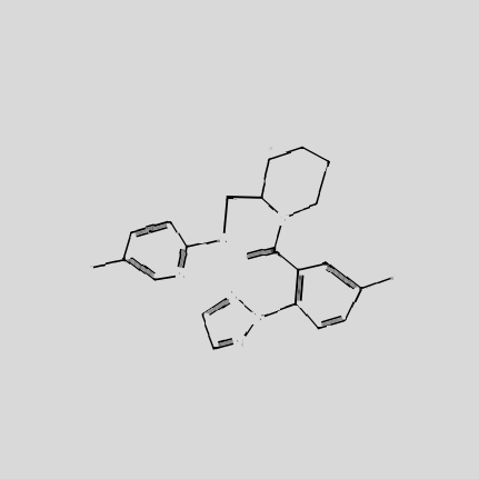 C[C@@H]1CCCN(C(=O)c2cc(F)ccc2-n2nccn2)C1CNc1ccc(Cl)cn1